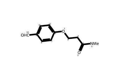 CNC(=O)CCOc1ccc(C=O)cc1